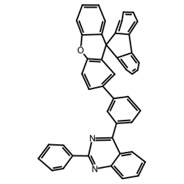 c1ccc(-c2nc(-c3cccc(-c4ccc5c(c4)C4(c6ccccc6O5)c5ccccc5-c5ccccc54)c3)c3ccccc3n2)cc1